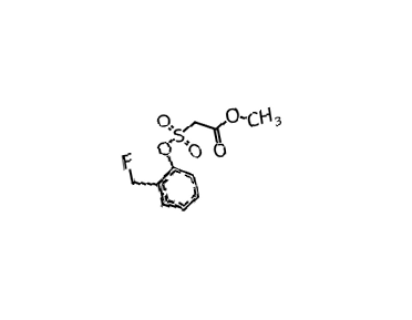 COC(=O)CS(=O)(=O)Oc1ccccc1CF